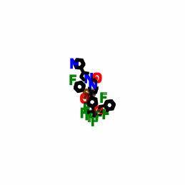 O=C(N1CCC(c2cccnc2)C1)N1CC[C@](c2ccc(C(OCc3c(F)cccc3F)(C(F)(F)F)C(F)(F)F)cc2)([S+]([O-])c2ccc(F)cc2)C1